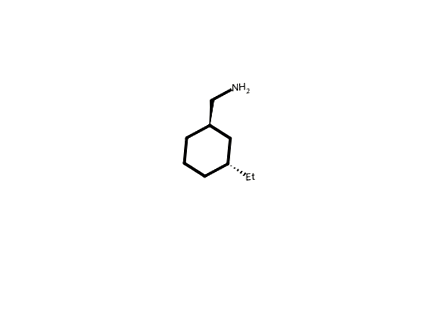 CC[C@@H]1CCC[C@@H](CN)C1